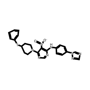 O=[N+]([O-])c1c(Nc2ccc(-n3cncn3)cc2)ncnc1N1CCC(Sc2ccccc2)CC1